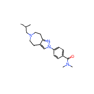 CC(C)CN1CCc2cn(-c3ccc(C(=O)N(C)C)cc3)nc2CC1